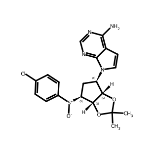 CC1(C)O[C@@H]2[C@H](O1)[C@@H]([S+]([O-])c1ccc(Cl)cc1)C[C@H]2n1ccc2c(N)ncnc21